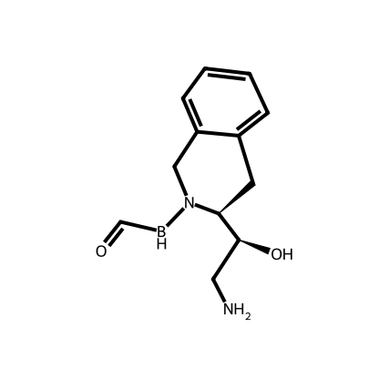 NC[C@H](O)[C@@H]1Cc2ccccc2CN1BC=O